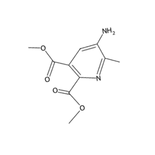 COC(=O)c1cc(N)c(C)nc1C(=O)OC